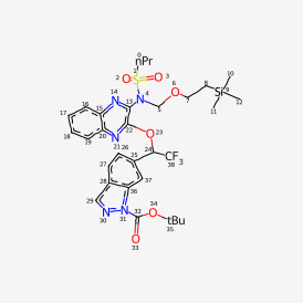 CCCS(=O)(=O)N(COCC[Si](C)(C)C)c1nc2ccccc2nc1OC(c1ccc2cnn(C(=O)OC(C)(C)C)c2c1)C(F)(F)F